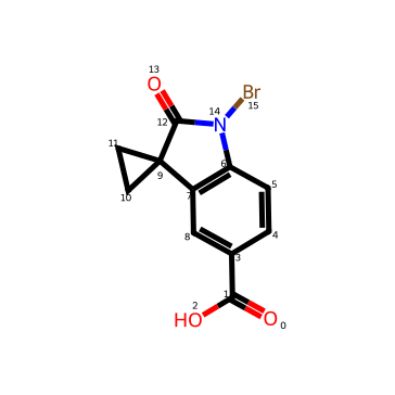 O=C(O)c1ccc2c(c1)C1(CC1)C(=O)N2Br